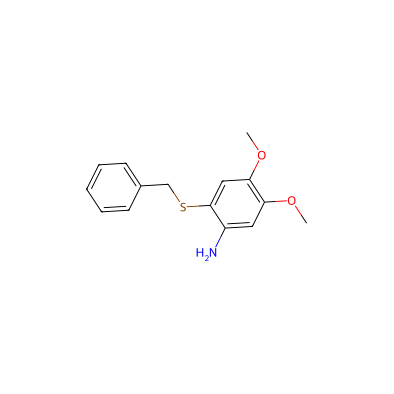 COc1cc(N)c(SCc2ccccc2)cc1OC